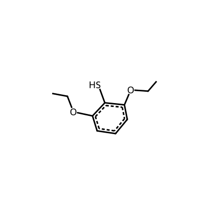 CCOc1cccc(OCC)c1S